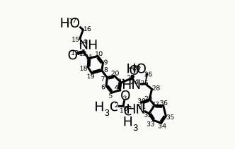 CC(C)Oc1ccc(-c2ccc(C(=O)NCCO)cc2)cc1C(=O)N[C@@H](CO)Cc1c[nH]c2ccccc12